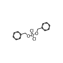 [Cl][Zr]([Cl])([O]Cc1ccccc1)[O]Cc1ccccc1